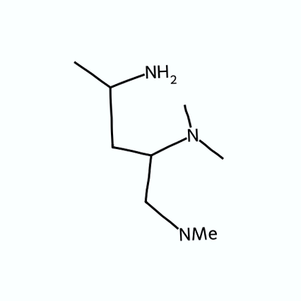 CNCC(CC(C)N)N(C)C